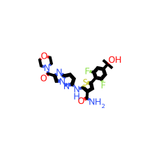 CC(C)(O)c1cc(F)c(-c2cc(C(N)=O)c(Nc3ccc4nc(C(=O)N5CCOCC5)cn4n3)s2)c(F)c1